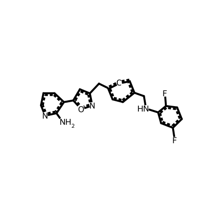 Nc1ncccc1-c1cc(Cc2ccc(CNc3cc(F)ccc3F)cc2)no1